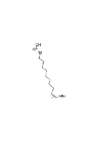 CCCC/C=C\CCCCCCCCOPO